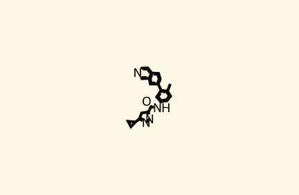 Cc1ccc(NC(=O)C2=NN=C(C3CC3)C2)cc1-c1ccc2ccncc2c1